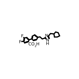 O=C(O)c1cc(F)c(F)cc1-c1ccc(CCc2nc(CC3CCCCC3)c[nH]2)cc1